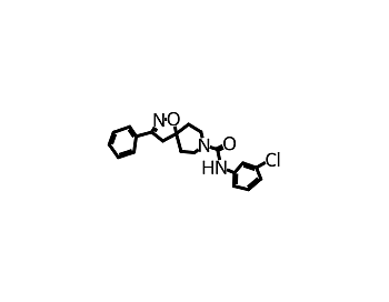 O=C(Nc1cccc(Cl)c1)N1CCC2(CC1)CC(c1ccccc1)=NO2